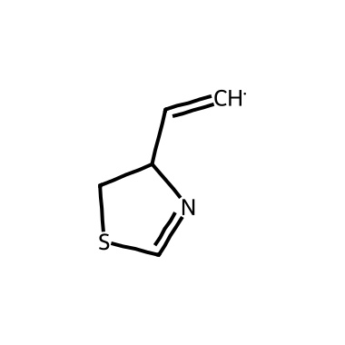 [CH]=CC1CSC=N1